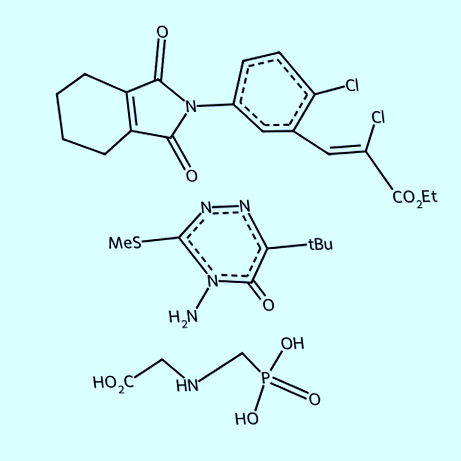 CCOC(=O)/C(Cl)=C/c1cc(N2C(=O)C3=C(CCCC3)C2=O)ccc1Cl.CSc1nnc(C(C)(C)C)c(=O)n1N.O=C(O)CNCP(=O)(O)O